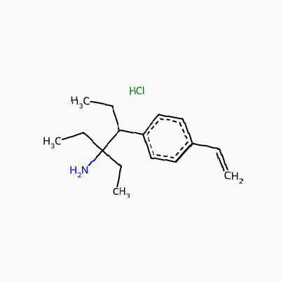 C=Cc1ccc(C(CC)C(N)(CC)CC)cc1.Cl